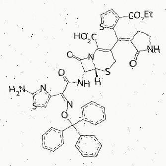 CCOC(=O)c1ccsc1C(=C1CCNC1=O)C1=C(C(=O)O)N2C(=O)[C@@H](NC(=O)C(=NOC(c3ccccc3)(c3ccccc3)c3ccccc3)c3csc(N)n3)[C@H]2SC1